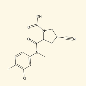 CN(C(=O)C1CC(C#N)CN1C(=O)O)c1ccc(F)c(Cl)c1